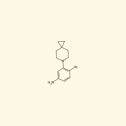 CC(=O)c1ccc(N)cc1N1CCC2(CC1)CC2